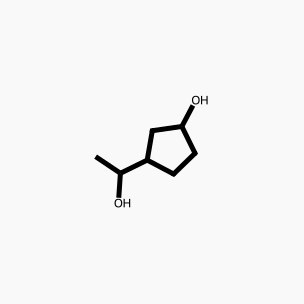 CC(O)C1CCC(O)C1